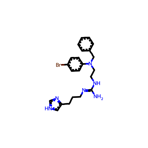 NC(=NCCCc1c[nH]cn1)NCCN(Cc1ccccc1)c1ccc(Br)cc1